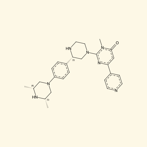 C[C@@H]1CN(c2ccc([C@H]3CN(c4nc(-c5ccncc5)cc(=O)n4C)CCN3)cc2)C[C@H](C)N1